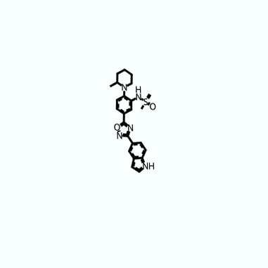 C=S(C)(=O)Nc1cc(-c2nc(-c3ccc4[nH]ccc4c3)no2)ccc1N1CCCCC1C